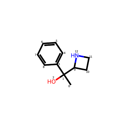 CC(O)(c1ccccc1)C1CCN1